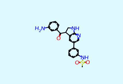 CS(=O)(=O)Nc1cccc(-c2cnc3c(c2)C(C(=O)c2cccc(N)c2)CN3)c1